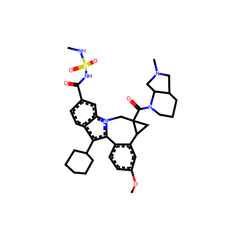 CNS(=O)(=O)NC(=O)c1ccc2c(C3CCCCC3)c3n(c2c1)CC1(C(=O)N2CCCC4CN(C)CC42)CC1c1cc(OC)ccc1-3